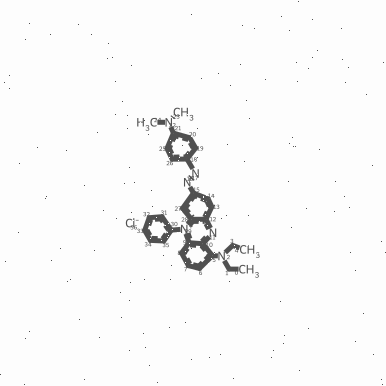 CCN(CC)c1cccc2c1nc1ccc(N=Nc3ccc(N(C)C)cc3)cc1[n+]2-c1ccccc1.[Cl-]